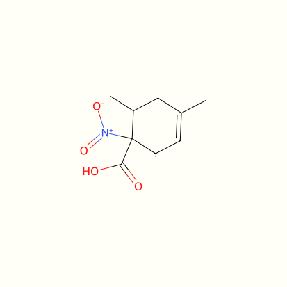 CC1=C[CH]C(C(=O)O)([N+](=O)[O-])C(C)C1